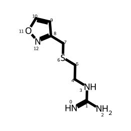 N=C(N)NCCSCc1ccon1